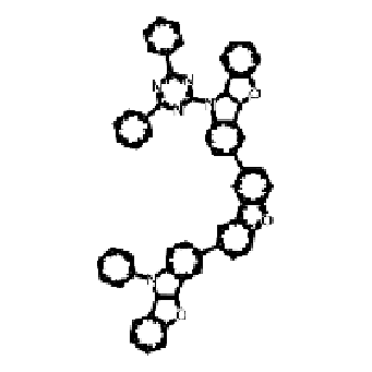 c1ccc(-c2nc(-c3ccccc3)nc(N3c4ccc(-c5ccc6oc7ccc(-c8ccc9c(c8)C8Oc%10ccccc%10C8N9c8ccccc8)cc7c6c5)cc4C4Oc5ccccc5C43)n2)cc1